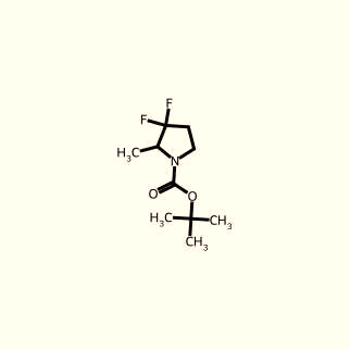 CC1N(C(=O)OC(C)(C)C)CCC1(F)F